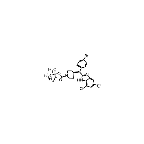 CC(C)(C)OC(=O)N1CCC(=C(c2ccc(Br)cc2)c2nc3cc(Cl)cc(Cl)c3[nH]2)CC1